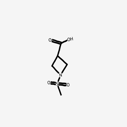 CS(=O)(=O)N1CC(C(=O)O)C1